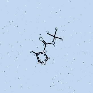 [CH2]c1cncn1C(=O)OC(C)(C)C